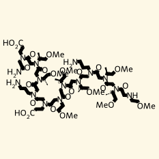 COCCNCC(=O)N(CC(=O)N(CC(=O)N(CCCN)CC(=O)N(CC(=O)N(CC(=O)N(CCOC)CC(=O)N(CCC(=O)O)CC(=O)N(CCCN)CC(=O)N(CC(=O)N(CC(=O)N(CCC(=O)O)CC(N)=O)[C@@H](C)COC)[C@@H](C)COC)[C@@H](C)COC)[C@@H](C)COC)[C@@H](C)COC)[C@@H](C)COC